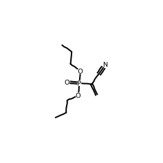 C=C(C#N)P(=O)(OCCC)OCCC